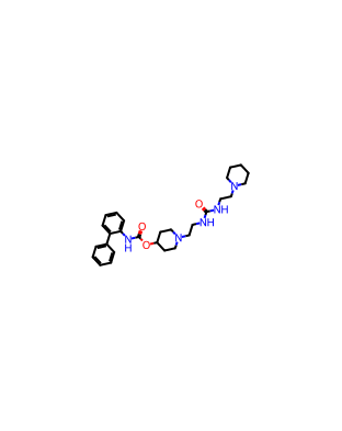 O=C(NCCN1CCCCC1)NCCN1CCC(OC(=O)Nc2ccccc2-c2ccccc2)CC1